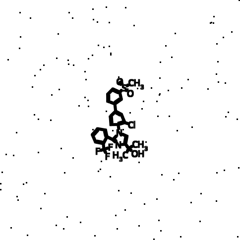 CC(C)(O)c1cn(-c2ccc(-c3cccc(S(C)(=O)=O)c3)cc2Cl)c(-c2ccccc2C(F)(F)F)n1